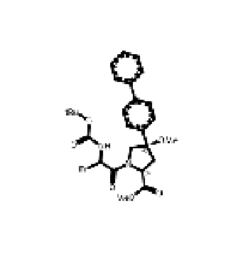 COC(=O)[C@@H]1C[C@@](OC)(c2ccc(-c3ccccc3)cc2)CN1C(=O)C(NC(=O)OC(C)(C)C)C(C)C